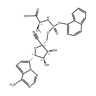 C[C@H](NP(=O)(OC[C@@]1(C#N)O[C@@H](c2ccc3c(N)ncnn23)[C@H](O)[C@@H]1O)Oc1cccc2ccccc12)C(=O)O